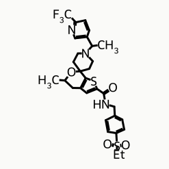 CCS(=O)(=O)c1ccc(CNC(=O)c2cc3c(s2)C2(CCN(C(C)c4ccc(C(F)(F)F)nc4)CC2)OC(C)C3)cc1